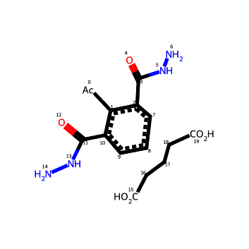 CC(=O)c1c(C(=O)NN)cccc1C(=O)NN.O=C(O)CCCC(=O)O